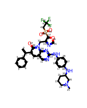 C=C(c1ccccc1)c1cc2cnc(Nc3ccc(NC4CCCN(C)C4)cc3)nc2n(Cc2ncoc2S(=O)(=O)CC(F)(F)F)c1=O